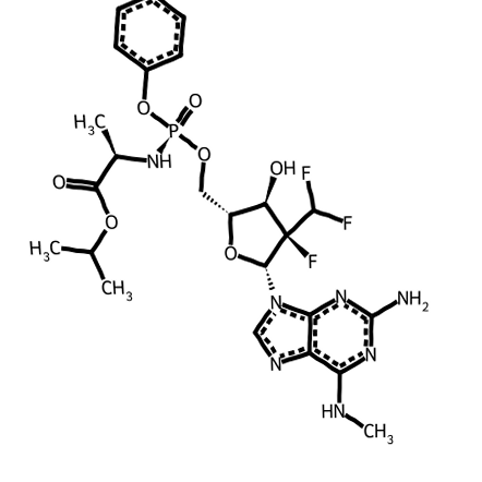 CNc1nc(N)nc2c1ncn2[C@@H]1O[C@H](CO[P@](=O)(N[C@H](C)C(=O)OC(C)C)Oc2ccccc2)[C@@H](O)[C@]1(F)C(F)F